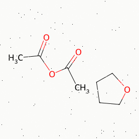 C1CCOC1.CC(=O)OC(C)=O